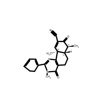 C[C@@H]1C(=O)C(C#N)=C[C@]2(C)c3nc(C4=CC=CCC4)n(C)c(=O)c3CC[C@@H]12